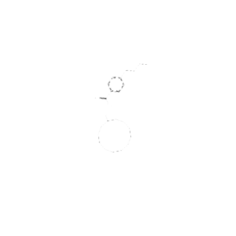 CCCCc1ccc(C(=O)OO[C]2CCCCCCCCCCC2)cc1